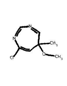 COC1(C)C=NC=NC(Cl)=C1